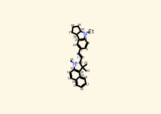 CCN1c2ccc(/C=C/C3=[N+](C)c4ccc5ccccc5c4C3(C)C)cc2C2CCCC21